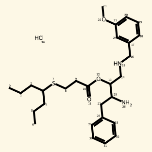 CCCC(CCC)SCCC(=O)OC(CNCc1cccc(OC)c1)C(N)Cc1ccccc1.Cl